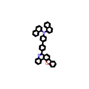 c1ccc2c(N(c3ccc(-c4ccc(-c5nc6ccccc6c6c5ccc5c7ccccc7oc56)cc4)cc3)c3cccc4ccccc34)cccc2c1